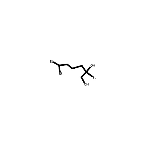 CCC(CC)CCCC(O)(CC)CO